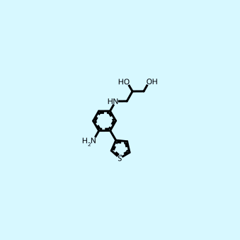 Nc1ccc(NCC(O)CO)cc1-c1ccsc1